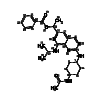 CC(=O)NC1CCC(Nc2ncc3cc(C(C)OC(=O)c4ccccc4)nc(NC(C)C)c3n2)CC1